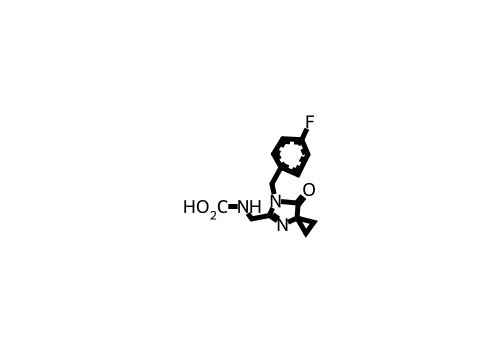 O=C(O)NCC1=NC2(CC2)C(=O)N1Cc1ccc(F)cc1